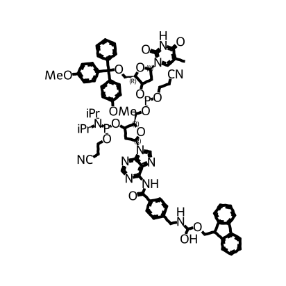 COc1ccc(C(OC[C@H]2O[C@@H](n3cc(C)c(=O)[nH]c3=O)CC2OP(OCCC#N)OC[C@H]2O[C@@H](n3cnc4c(NC(=O)c5ccc(CNC(O)OCC6c7ccccc7-c7ccccc76)cc5)ncnc43)CC2OP(OCCC#N)N(C(C)C)C(C)C)(c2ccccc2)c2ccc(OC)cc2)cc1